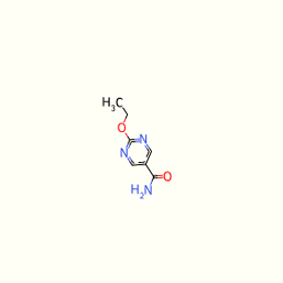 CCOc1ncc(C(N)=O)cn1